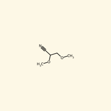 COCC(C#N)OC